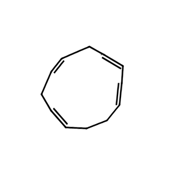 [C]1=CC=CCCC=CCC=CC1